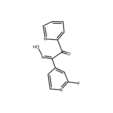 O=C(/C(=N\O)c1ccnc(F)c1)c1ccccn1